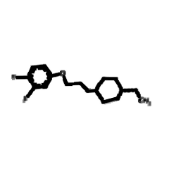 CCC1CCC(CCCOc2ccc(F)c(F)c2)CC1